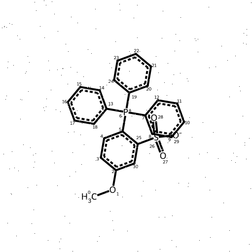 COc1ccc([P+](c2ccccc2)(c2ccccc2)c2ccccc2)c(S(=O)(=O)[O-])c1